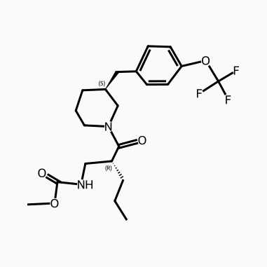 CCC[C@H](CNC(=O)OC)C(=O)N1CCC[C@@H](Cc2ccc(OC(F)(F)F)cc2)C1